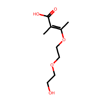 CC(OCCOCCO)=C(C)C(=O)O